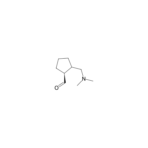 CN(C)CC1CCC[C@@H]1C=O